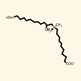 CCCCCCCCCCCCCCCCCCCC(O)C[N+](C)(C)CCCCCCCCCCC(=O)[O-]